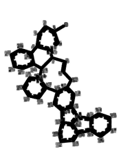 Cc1ccc2[n+](c1)C1/C=C/Cc3cc4c(cc3-c3cccc[n+]3C1c1ccccc1-2)c1cccc2c3ccccc3n4c21